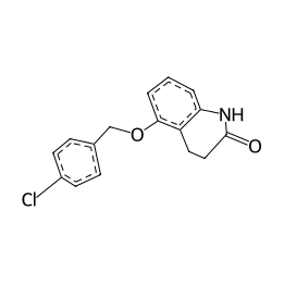 O=C1CCc2c(cccc2OCc2ccc(Cl)cc2)N1